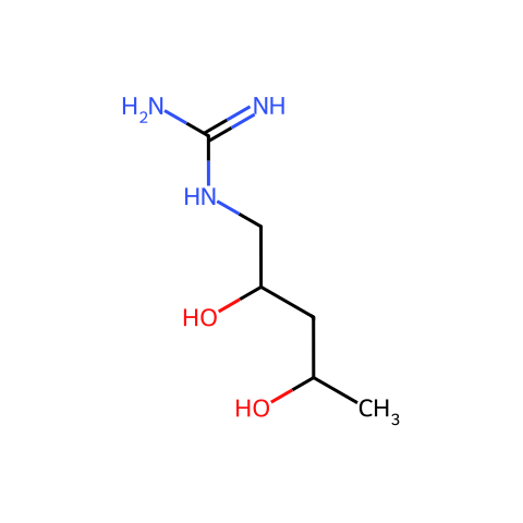 CC(O)CC(O)CNC(=N)N